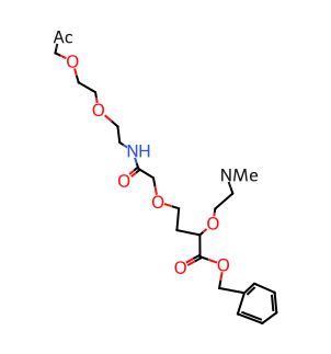 CNCCOC(CCOCC(=O)NCCOCCOCC(C)=O)C(=O)OCc1ccccc1